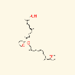 CC(=CCO)CCC=C(C)CCC=C(C)C(OCC=C(C)CCC=C(C)CCC=C(C)CC1CCCCO1)C1CCCCO1